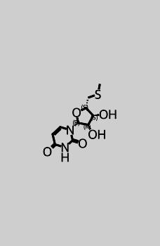 CSC[C@H]1O[C@@H](n2ccc(=O)[nH]c2=O)[C@H](O)[C@@H]1O